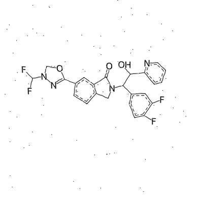 O=C1c2cc(C3=NN(C(F)F)CO3)ccc2CN1C(c1ccc(F)c(F)c1)C(O)c1ccccn1